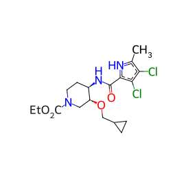 CCOC(=O)N1CC[C@@H](NC(=O)c2[nH]c(C)c(Cl)c2Cl)[C@@H](OCC2CC2)C1